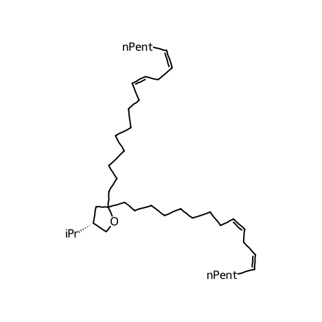 CCCCC/C=C\C/C=C\CCCCCCCCC1(CCCCCCCC/C=C\C/C=C\CCCCC)C[C@@H](C(C)C)CO1